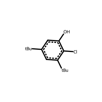 CC(C)(C)c1cc(O)c(Cl)c(C(C)(C)C)c1